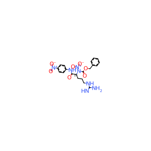 N=C(N)NCCC[C@@H](C(=O)Nc1ccc([N+](=O)[O-])cc1)N(C(=O)OCc1ccccc1)[N+](=O)[O-]